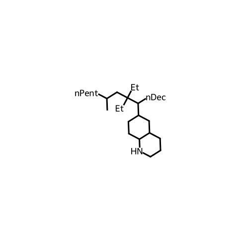 CCCCCCCCCCC(C1CCC2NCCCC2C1)C(CC)(CC)CC(C)CCCCC